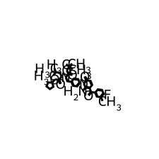 Cc1cc(C(=O)c2ccc(=O)n(-c3ccc(CN(C(=O)OC(C)(C)C)C(CC(C)C)C(=O)OC4CCCC4)cc3)c2N)ccc1F